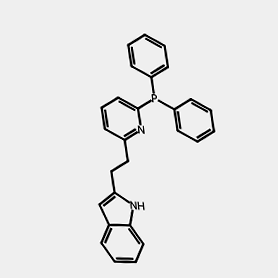 c1ccc(P(c2ccccc2)c2cccc(CCc3cc4ccccc4[nH]3)n2)cc1